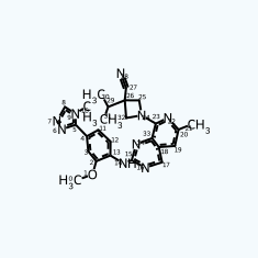 COc1cc(-c2nncn2C)ccc1Nc1ncc2cc(C)nc(N3CC(C#N)(C(C)C)C3)c2n1